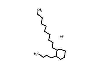 CCCCCCCCCCN1CCCCC1CCCC.F